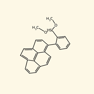 CO[SiH](OC)c1ccccc1-c1ccc2ccc3cccc4ccc1c2c34